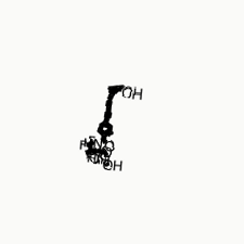 CC(O)(C(F)F)C(NC(=O)c1ccc(C#CC#CC2CC2CO)cc1)C(=O)NO